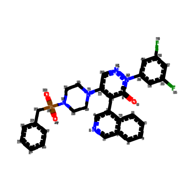 O=c1c(-c2cncc3ccccc23)c(N2CCN(S(=O)(=O)Cc3ccccc3)CC2)cnn1-c1cc(F)cc(F)c1